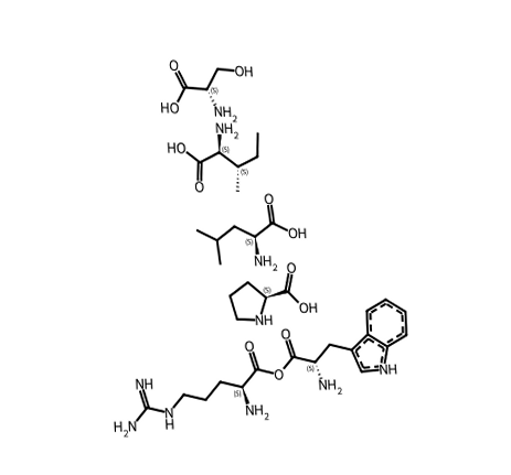 CC(C)C[C@H](N)C(=O)O.CC[C@H](C)[C@H](N)C(=O)O.N=C(N)NCCC[C@H](N)C(=O)OC(=O)[C@@H](N)Cc1c[nH]c2ccccc12.N[C@@H](CO)C(=O)O.O=C(O)[C@@H]1CCCN1